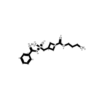 CCCCOC(=O)N1CC(CS(C)(=O)=NC(=O)c2ccccc2)C1